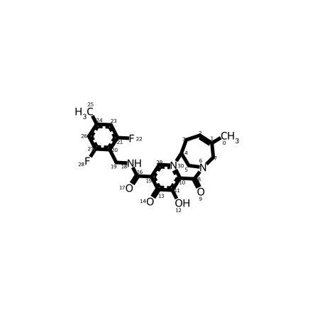 CC1=CCC2CN(C1)C(=O)c1c(O)c(=O)c(C(=O)NCc3c(F)cc(C)cc3F)cn12